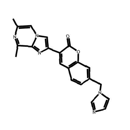 Cc1cn2cc(-c3cc4ccc(Cn5ccnc5)cc4oc3=O)nc2c(C)n1